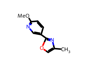 COc1ccc(-c2nc(C)co2)cn1